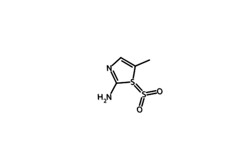 CC1=CN=C(N)S1=S(=O)=O